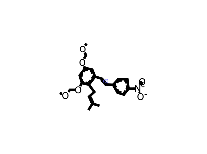 COCOc1cc(/C=C/c2ccc([N+](=O)[O-])cc2)c(CC=C(C)C)c(OCOC)c1